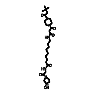 CC(C)(C)CC(=O)N1CCN(C(=O)CC(=O)NCCCCCCCCC(=O)NCC(=O)N2CC[C@@H](O)C2)CC1